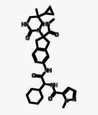 CNC(=O)C1(N2CC(C)(C3CC3)CNC2=O)Cc2ccc(NC(=O)[C@@H](NC(=O)c3ccnn3C)C3CCCCC3)cc2C1